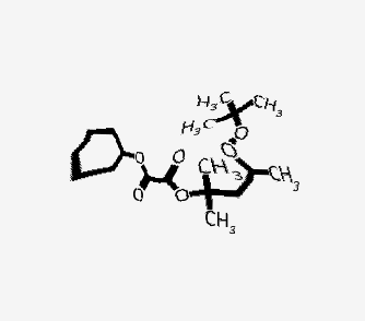 CC(CC(C)(C)OC(=O)C(=O)OC1CCCCC1)OOC(C)(C)C